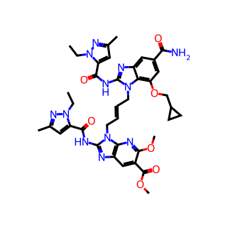 CCn1nc(C)cc1C(=O)Nc1nc2cc(C(=O)OC)c(OC)nc2n1CC=CCn1c(NC(=O)c2cc(C)nn2CC)nc2cc(C(N)=O)cc(OCC3CC3)c21